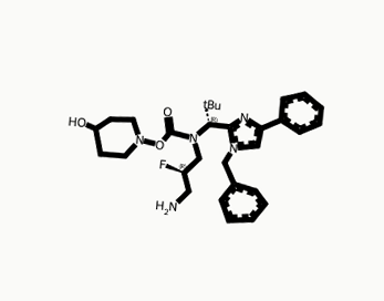 CC(C)(C)[C@H](c1nc(-c2ccccc2)cn1Cc1ccccc1)N(C[C@H](F)CN)C(=O)ON1CCC(O)CC1